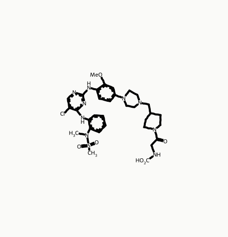 COc1cc(N2CCN(CC3CCN(C(=O)CNC(=O)O)CC3)CC2)ccc1Nc1ncc(Cl)c(Nc2ccccc2N(C)S(C)(=O)=O)n1